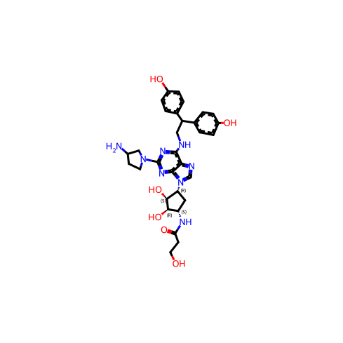 NC1CCN(c2nc(NCC(c3ccc(O)cc3)c3ccc(O)cc3)c3ncn([C@@H]4C[C@H](NC(=O)CCO)[C@@H](O)[C@H]4O)c3n2)C1